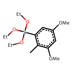 CCO[Si](OCC)(OCC)c1cc(OC)cc(OC)c1C